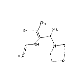 C=CN/C(=C(/C)CC)C(C)N1CCOCC1